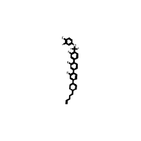 C=CCCCC1CCC(c2ccc(-c3ccc(-c4ccc(C(F)(F)Oc5ccc(F)c(F)c5)c(F)c4)c(F)c3)c(F)c2)CC1